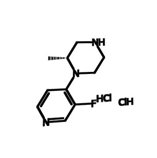 C[C@@H]1CNCCN1c1ccncc1F.Cl.Cl